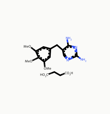 COc1cc(Cc2cnc(N)nc2N)cc(OC)c1OC.O=C(O)CCC(=O)O